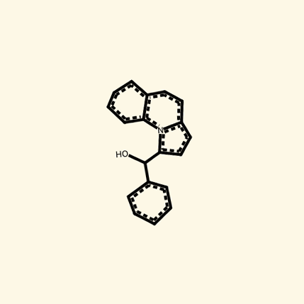 OC(c1ccccc1)c1ccc2ccc3ccccc3n12